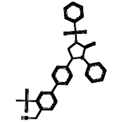 CS(=O)(=O)c1cc(-c2ccc(C3CN(S(=O)(=O)c4ccccc4)C(=O)N3c3ccccc3)cc2)ccc1CO